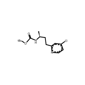 C[C@@H](CCc1cc(Cl)ccn1)NC(=O)OC(C)(C)C